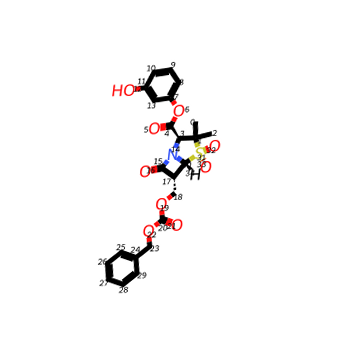 CC1(C)[C@H](C(=O)Oc2cccc(O)c2)N2C(=O)[C@@H](COC(=O)OCc3ccccc3)[C@H]2S1(=O)=O